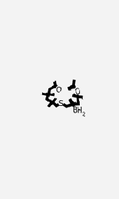 BC(C)(CSCC(C)(C)CC(C)(C)CC(C)=O)CC(C)(C)OC(=C)C